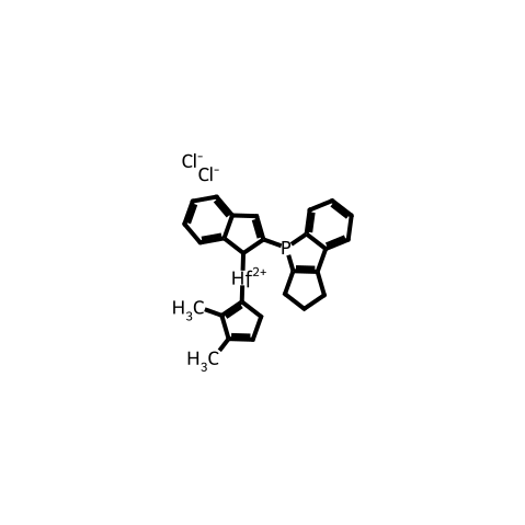 CC1=CC[C]([Hf+2][CH]2C(p3c4c(c5ccccc53)CCC4)=Cc3ccccc32)=C1C.[Cl-].[Cl-]